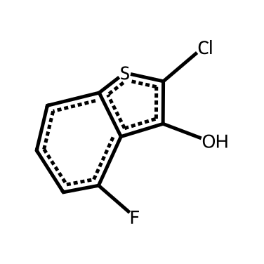 Oc1c(Cl)sc2cccc(F)c12